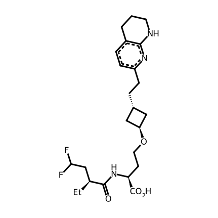 CC[C@@H](CC(F)F)C(=O)N[C@@H](CCO[C@H]1C[C@H](CCc2ccc3c(n2)NCCC3)C1)C(=O)O